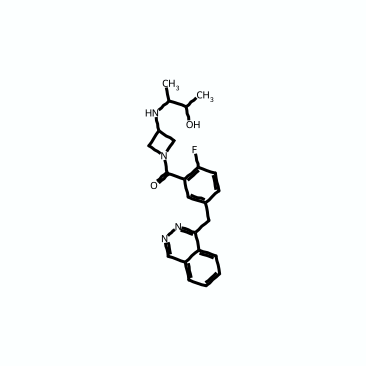 CC(O)C(C)NC1CN(C(=O)c2cc(Cc3nncc4ccccc34)ccc2F)C1